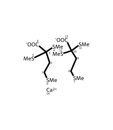 CSCCC(SC)(SC)C(=O)[O-].CSCCC(SC)(SC)C(=O)[O-].[Ca+2]